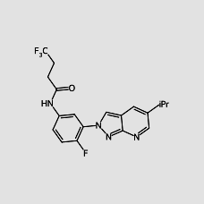 CC(C)c1cnc2nn(-c3cc(NC(=O)CCC(F)(F)F)ccc3F)cc2c1